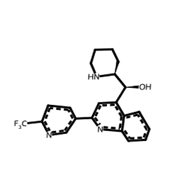 O[C@@H](c1cc(-c2ccc(C(F)(F)F)nc2)nc2ccccc12)[C@@H]1CCCCN1